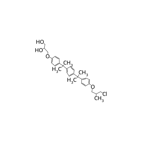 CC(CCl)COc1ccc(C(C)(C)c2ccc(C(C)(C)c3ccc(OCC(O)CO)cc3)cc2)cc1